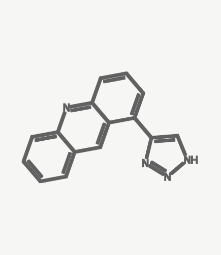 c1ccc2nc3cccc(-c4c[nH]nn4)c3cc2c1